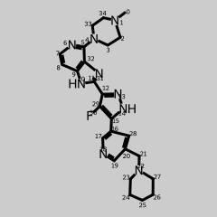 CN1CCN(c2nccc3[nH]c(-c4n[nH]c(-c5cncc(CN6CCCCC6)c5)c4F)nc23)CC1